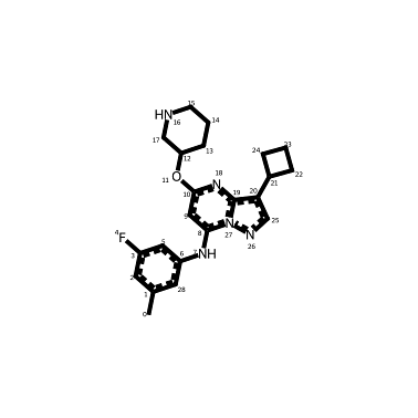 Cc1cc(F)cc(Nc2cc(OC3CCCNC3)nc3c(C4CCC4)cnn23)c1